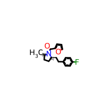 C[C@@H]1CC[C@H](CCc2ccc(F)cc2)N1C(=O)c1ccco1